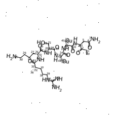 C=CC(=O)[C@H](CC(N)=O)NC(=O)[C@@H](NC(=O)[C@@H](NC(=O)[C@H](CO)NC(=O)[C@H](CCCCN)NC(=O)[C@@H](C)CCCNC(=N)N)[C@@H](C)CC)[C@@H](C)CC